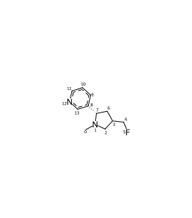 CN1CC(CF)C[C@H]1c1cccnc1